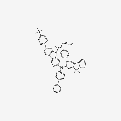 C=C/C=C\C=C(/C)C1(c2ccccc2)c2cc(-c3ccc(C(C)(C)C)cc3)ccc2-c2ccc(N(c3ccc(-c4ccccc4)cc3)c3ccc4c(c3)C(C)(C)c3ccccc3-4)cc21